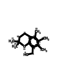 Cc1c(C)c(CO)c2c(c1C)CCC(C)(C)O2